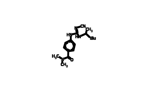 CC(N/C(=N\C#N)Nc1ccc(C(=O)N(C)C)cc1)C(C)(C)C